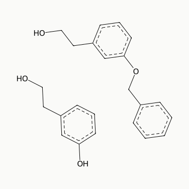 OCCc1cccc(O)c1.OCCc1cccc(OCc2ccccc2)c1